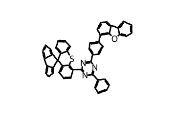 c1ccc(-c2nc(-c3ccc(-c4cccc5c4oc4ccccc45)cc3)nc(-c3cccc4c3Sc3ccccc3C43c4ccccc4-c4ccccc43)n2)cc1